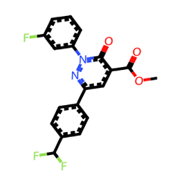 COC(=O)c1cc(-c2ccc(C(F)F)cc2)nn(-c2cccc(F)c2)c1=O